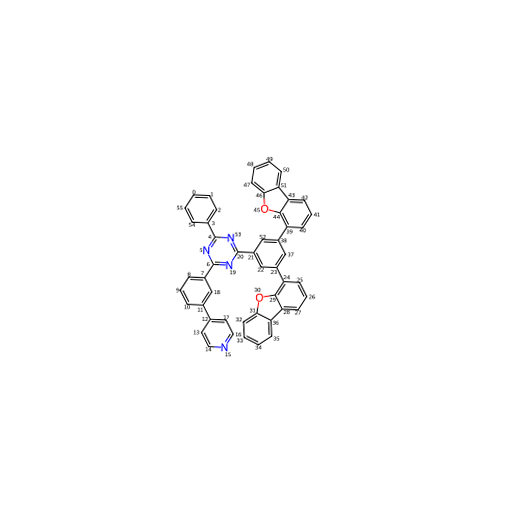 c1ccc(-c2nc(-c3cccc(-c4ccncc4)c3)nc(-c3cc(-c4cccc5c4oc4ccccc45)cc(-c4cccc5c4oc4ccccc45)c3)n2)cc1